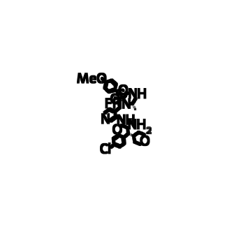 COc1ccc(S(=O)(=O)[C@@]2(CCc3c(F)cncc3NC(=O)[C@@H](N)[C@@H](c3ccc(Cl)cc3)C3CCOCC3)CNC[C@H](C)N2)cc1